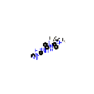 CCC(C)Nc1ccc(NNc2ccc(NNc3ccc(NNc4cccnc4)cc3)c3ccccc23)c2ccccc12